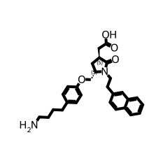 NCCCCc1ccc(OC[C@@H]2C[C@@H](CC(=O)O)C(=O)N2CCc2ccc3ccccc3c2)cc1